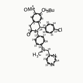 CCC(C)Oc1cc2c(cc1OC)CC(=O)N(c1ccc(N(C)Cc3ccncn3)cc1)C2c1ccc(Cl)cc1